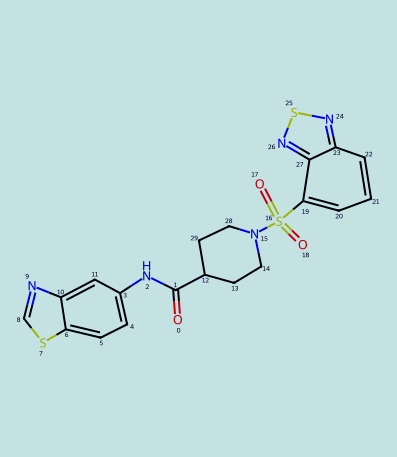 O=C(Nc1ccc2scnc2c1)C1CCN(S(=O)(=O)c2cccc3nsnc23)CC1